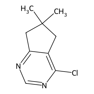 CC1(C)Cc2ncnc(Cl)c2C1